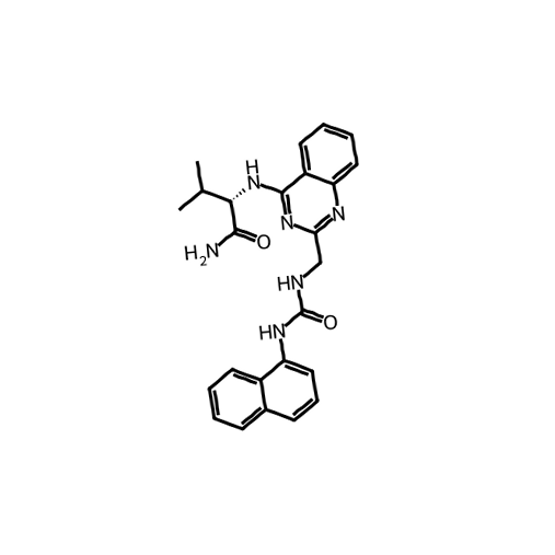 CC(C)[C@H](Nc1nc(CNC(=O)Nc2cccc3ccccc23)nc2ccccc12)C(N)=O